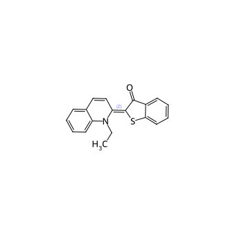 CCN1/C(=C2\Sc3ccccc3C2=O)C=Cc2ccccc21